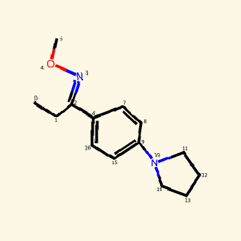 CC/C(=N\OC)c1ccc(N2CCCC2)cc1